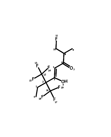 CCC(/C(O)=C/C(=O)C(C)CF)(C(F)(F)F)C(F)(F)F